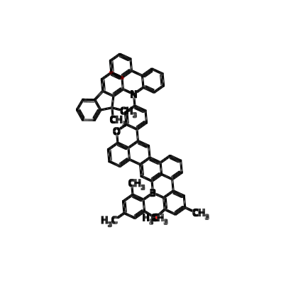 Cc1cc(C)c(B2c3c(C)cc(C)cc3-c3cccc4c3c2cc2c3cccc5c3c(cc42)-c2ccc(N(c3ccccc3-c3ccccc3)c3cccc4c3C(C)(C)c3ccccc3-4)cc2O5)c(C)c1